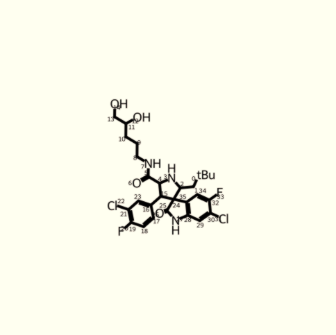 CC(C)(C)CC1NC(C(=O)NCCCC(O)CO)C(c2ccc(F)c(Cl)c2)C12C(=O)Nc1cc(Cl)c(F)cc12